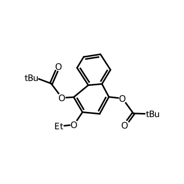 CCOc1cc(OC(=O)C(C)(C)C)c2ccccc2c1OC(=O)C(C)(C)C